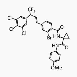 COc1ccc(NC(=O)C2(NC(=O)c3ccc(/C=C/C(c4cc(Cl)c(Cl)c(Cl)c4)C(F)(F)F)cc3Br)CC2)cc1